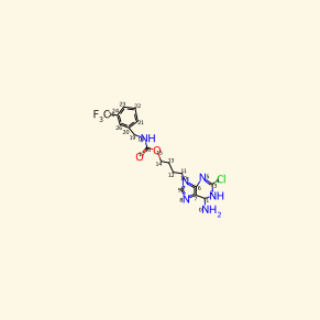 NC1NC(Cl)=Nc2c1ncn2CCCCOC(=O)NCc1cccc(C(F)(F)F)c1